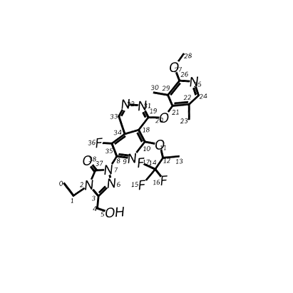 CCn1c(CO)nn(-c2nc(OC(C)C(F)(F)F)c3c(Oc4c(C)cnc(OC)c4C)nncc3c2F)c1=O